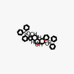 C[C@]12CC[C@@H]3[C@@H](CC=C4CC(O[Si](c5ccccc5)(c5ccccc5)c5ccccc5)CC[C@@]43CO)[C@@H]1CCC2O[Si](c1ccccc1)(c1ccccc1)c1ccccc1